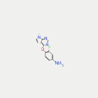 Cn1ccc2c(Oc3ccc(N)cc3F)ncnc21